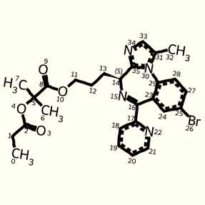 CCC(=O)OC(C)(C)C(=O)OCCC[C@@H]1N=C(c2ccccn2)c2cc(Br)ccc2-n2c(C)cnc21